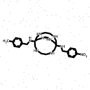 Cc1ccc(CNC23CNCCNCC(NCc4ccc([N+](=O)[O-])cc4)(CNCCNC2)CNCCNC3)cc1